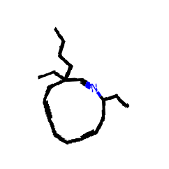 CCCCC1(CC)C=NC(CC)CC=CCCC=CC1